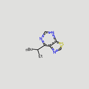 CCCCC(CC)c1ncnc2scnc12